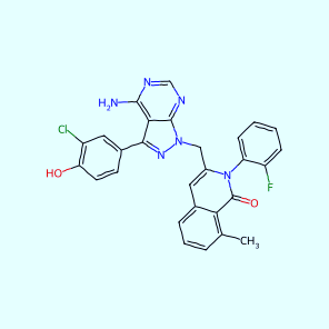 Cc1cccc2cc(Cn3nc(-c4ccc(O)c(Cl)c4)c4c(N)ncnc43)n(-c3ccccc3F)c(=O)c12